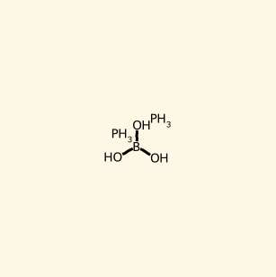 OB(O)O.P.P